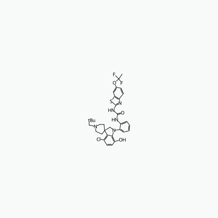 CC(C)(C)CN1CCC2(CC1)CN(c1ccccc1NC(=O)Nc1nc3ccc(OC(C)(F)F)cc3s1)c1c(O)ccc(Cl)c12